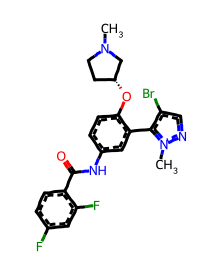 CN1CC[C@@H](Oc2ccc(NC(=O)c3ccc(F)cc3F)cc2-c2c(Br)cnn2C)C1